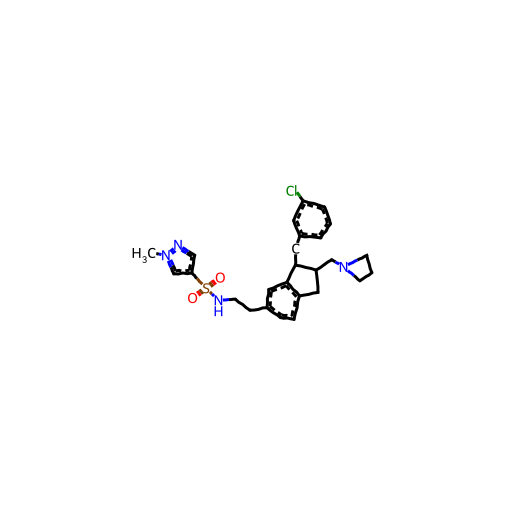 Cn1cc(S(=O)(=O)NCCc2ccc3c(c2)C(Cc2cccc(Cl)c2)C(CN2CCC2)C3)cn1